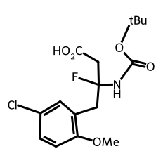 COc1ccc(Cl)cc1CC(F)(CC(=O)O)NC(=O)OC(C)(C)C